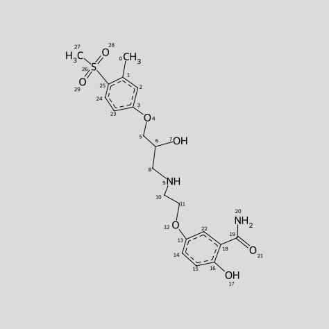 Cc1cc(OCC(O)CNCCOc2ccc(O)c(C(N)=O)c2)ccc1S(C)(=O)=O